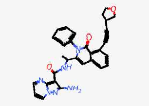 CC(NC(=O)c1c(N)nn2cccnc12)c1cc2cccc(C#CC3CCOC3)c2c(=O)n1-c1ccccc1